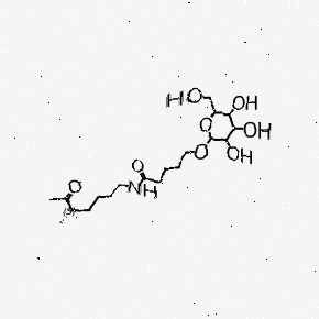 CC(=O)[C@@H](C)CCCCNC(=O)CCCCOC1OC(CO)C(O)C(O)C1O